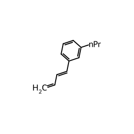 C=CC=Cc1cccc(CCC)c1